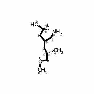 COC[C@@H](C)CC(CN)CC(=O)O